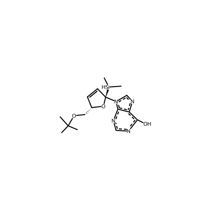 C[SiH](C)[C@]1(n2cnc3c(O)ncnc32)C=C[C@@H](COC(C)(C)C)O1